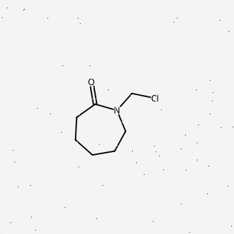 O=C1CCCCCN1CCl